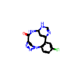 O=C1NC2C=C(N=CN2)c2cc(Cl)ccc2-n2cc1nn2